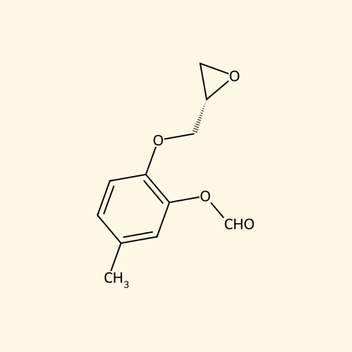 Cc1ccc(OC[C@@H]2CO2)c(OC=O)c1